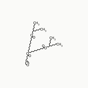 CCCCCC(CCCCC)CCOC(=O)CCCCCCCCCC(CCCCCCCCCC(=O)OCCC(CCCCC)CCCCC)OC(=O)CCCN1CCOCC1